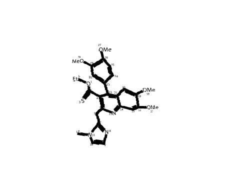 CCOC(=S)c1c(Cc2nccn2C)nc2cc(OC)c(OC)cc2c1-c1ccc(OC)c(OC)c1